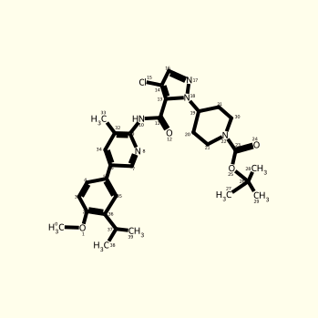 COc1ccc(-c2cnc(NC(=O)c3c(Cl)cnn3C3CCN(C(=O)OC(C)(C)C)CC3)c(C)c2)cc1C(C)C